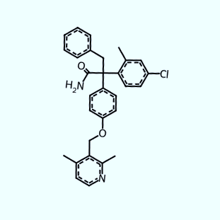 Cc1cc(Cl)ccc1C(Cc1ccccc1)(C(N)=O)c1ccc(OCc2c(C)ccnc2C)cc1